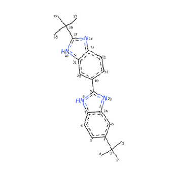 CC(C)(C)c1ccc2[nH]c(-c3ccc4nc(C(C)(C)C)[nH]c4c3)nc2c1